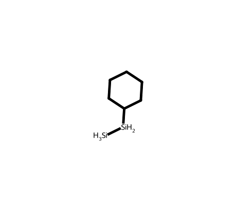 [SiH3][SiH2]C1CCCCC1